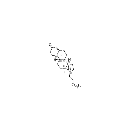 C[C@]12CC[C@H]3[C@@H](CCC4=CC(=O)CC[C@@]43C)[C@@H]1CC[C@H]2CCC(=O)O